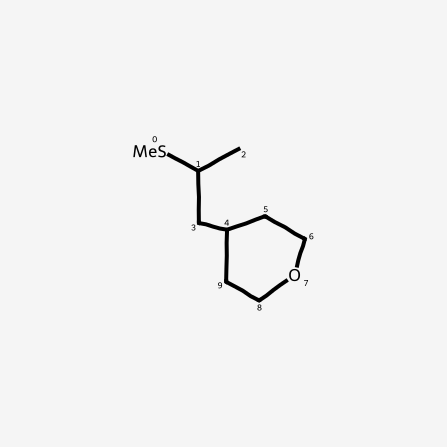 CSC(C)CC1CCOCC1